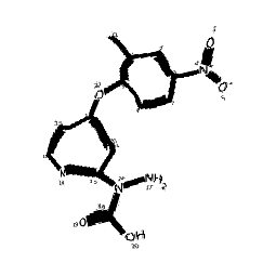 Cc1cc([N+](=O)[O-])ccc1Oc1ccnc(N(N)C(=O)O)c1